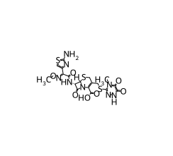 CON=C(C(=O)N[C@H]1C(=O)N2C(C(=O)O)=C(CSc3n[nH]c(=O)c(=O)n3C)CS[C@@H]12)c1csc(N)n1